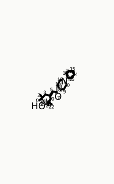 CC1(C)CC(=CC(=O)N2CCN(c3ccccc3)CC2)CC(C)(C)N1O